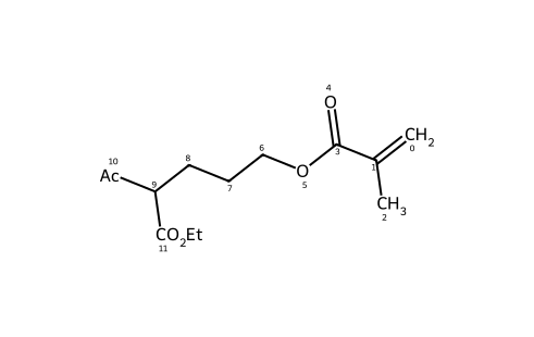 C=C(C)C(=O)OCCCC(C(C)=O)C(=O)OCC